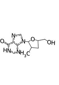 CC1CC(CO)OC1n1cnc2c(=O)[nH]cnc21